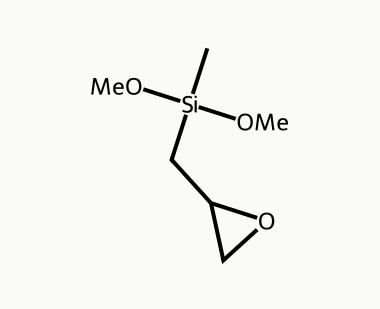 CO[Si](C)(CC1CO1)OC